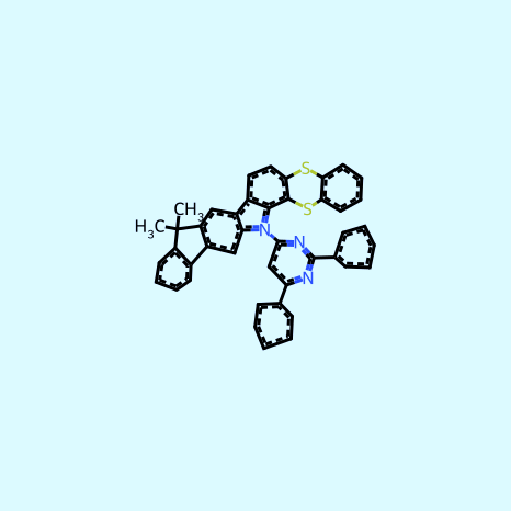 CC1(C)c2ccccc2-c2cc3c(cc21)c1ccc2c(c1n3-c1cc(-c3ccccc3)nc(-c3ccccc3)n1)Sc1ccccc1S2